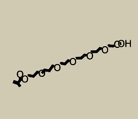 C=C(C)C(=O)OCCCOCCCOCCCOCCCOCCCOCCCO